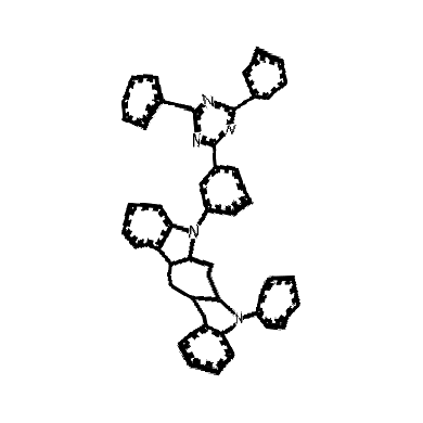 c1ccc(-c2nc(-c3ccccc3)nc(-c3cccc(N4c5ccccc5C5CC6c7ccccc7N(c7ccccc7)C6CC54)c3)n2)cc1